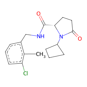 Cc1c(Cl)cccc1CNC(=O)[C@@H]1CCC(=O)N1C1CCC1